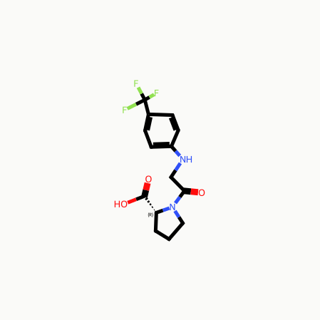 O=C(O)[C@H]1CCCN1C(=O)CNc1ccc(C(F)(F)F)cc1